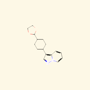 c1ccn2ncc(C3CCC(C4OCCO4)CC3)c2c1